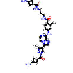 CCc1cc(Nc2nccn3c(-c4cn(C(=O)C5CC(N)C5)nc4C(F)(F)F)cnc23)ccc1C(=O)NCCCNC(=O)C1CC(N)C1